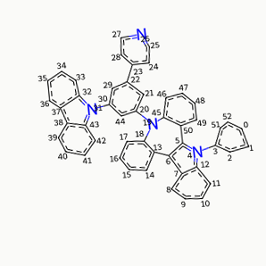 c1ccc(-n2c3c(c4ccccc42)-c2ccccc2N(c2cc(-c4ccncc4)cc(-n4c5ccccc5c5ccccc54)c2)c2ccccc2-3)cc1